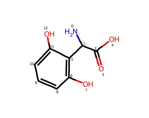 NC(C(=O)O)c1c(O)cccc1O